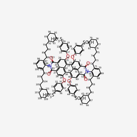 O=C1c2cc(Oc3ccc(S(=O)(=O)O)cc3)c3c4c(Oc5ccc(S(=O)(=O)O)cc5)cc5c6c(cc(Oc7ccc(S(=O)(=O)O)cc7)c(c7c(Oc8ccc(S(=O)(=O)O)cc8)cc(c2c37)C(=O)N1c1c(CCCCC2CCCCC2)cccc1CCCCC1CCCCC1)c64)C(=O)N(c1c(CCCCC2CCCCC2)cccc1CCCCC1CCCCC1)C5=O